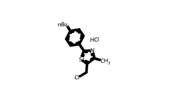 CCCCc1ccc(-c2nc(C)c(CCl)s2)cc1.Cl